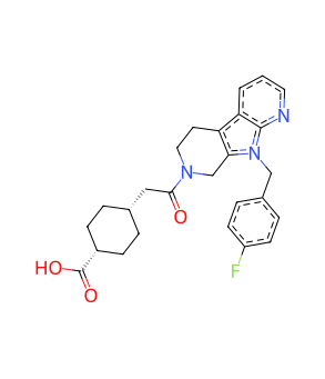 O=C(C[C@H]1CC[C@@H](C(=O)O)CC1)N1CCc2c(n(Cc3ccc(F)cc3)c3ncccc23)C1